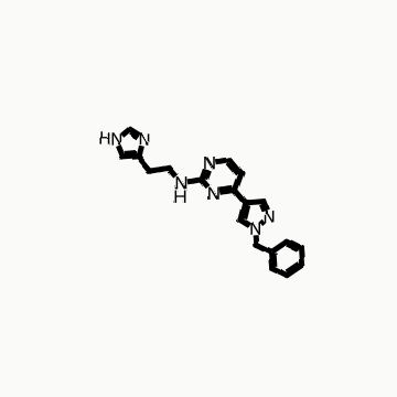 c1ccc(Cn2cc(-c3ccnc(NCCc4c[nH]cn4)n3)cn2)cc1